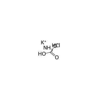 Cl.N.O=C([O-])O.[K+]